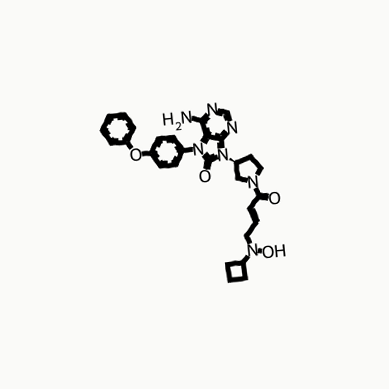 Nc1ncnc2c1n(-c1ccc(Oc3ccccc3)cc1)c(=O)n2[C@@H]1CCN(C(=O)/C=C/CN(O)C2CCC2)C1